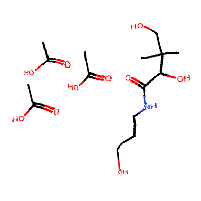 CC(=O)O.CC(=O)O.CC(=O)O.CC(C)(CO)C(O)C(=O)NCCCO